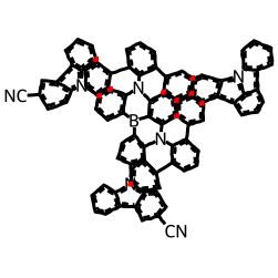 N#Cc1ccc2c(c1)c1ccccc1n2-c1ccc2c(c1)N(c1c(-c3ccccc3)cccc1-c1ccccc1)c1cc(-c3ccc4c(c3)c3cccc5c6ccccc6n4c53)cc3c1B2c1ccc(-n2c4ccccc4c4cc(C#N)ccc42)cc1N3c1c(-c2ccccc2)cccc1-c1ccccc1